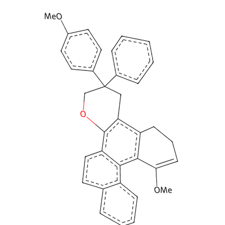 COC1=CCCc2c3c(c4ccc5ccccc5c4c21)OCC(c1ccccc1)(c1ccc(OC)cc1)C3